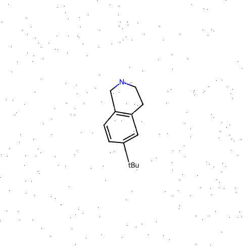 CC(C)(C)c1ccc2c(c1)CC[N]C2